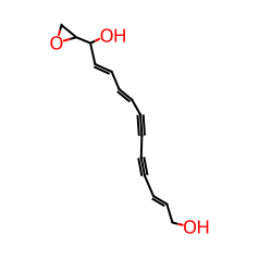 OCC=CC#CC#CC=CC=CC(O)C1CO1